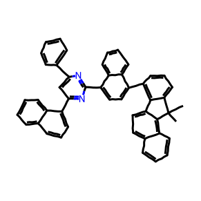 CC1(C)c2cccc(-c3ccc(-c4nc(-c5ccccc5)cc(-c5cccc6ccccc56)n4)c4ccccc34)c2-c2ccc3ccccc3c21